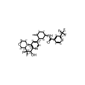 CC1CCC(NC(=O)c2ccnc(C(F)(F)F)c2)CC1c1cnc2c(c1)N1CCOCC1C(F)(F)C2O